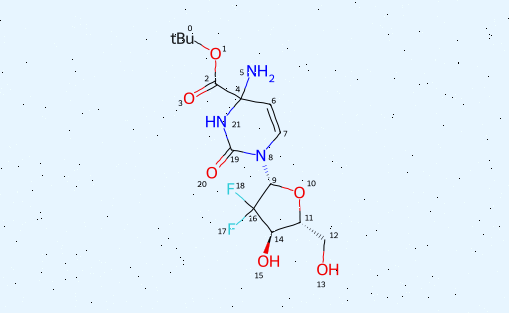 CC(C)(C)OC(=O)C1(N)C=CN([C@@H]2O[C@H](CO)[C@@H](O)C2(F)F)C(=O)N1